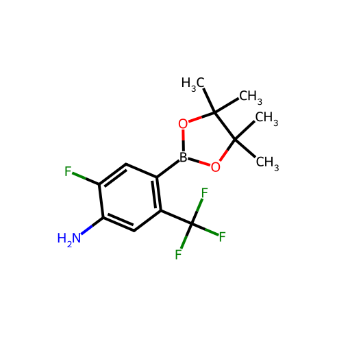 CC1(C)OB(c2cc(F)c(N)cc2C(F)(F)F)OC1(C)C